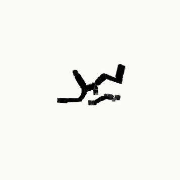 C=CCNC(=O)CO.O=S(=O)(O)O